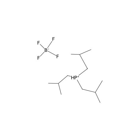 CC(C)C[PH+](CC(C)C)CC(C)C.F[B-](F)(F)F